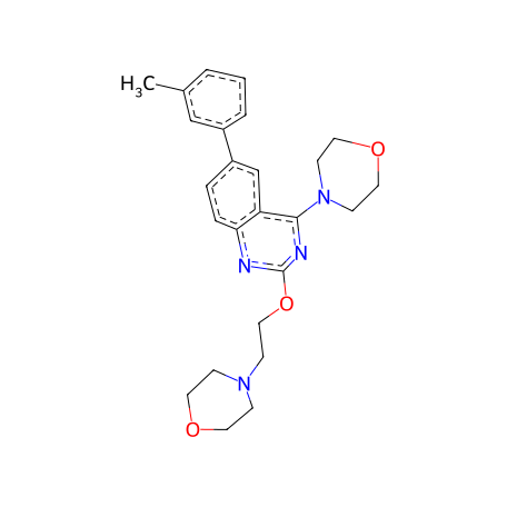 Cc1cccc(-c2ccc3nc(OCCN4CCOCC4)nc(N4CCOCC4)c3c2)c1